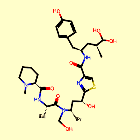 CCC(C)[C@H](NC(=O)[C@H]1CCCCN1C)C(=O)N(CO)[C@H](C[C@@H](O)c1nc(C(=O)N[C@@H](Cc2ccc(O)cc2)C[C@H](C)C(O)O)cs1)C(C)C